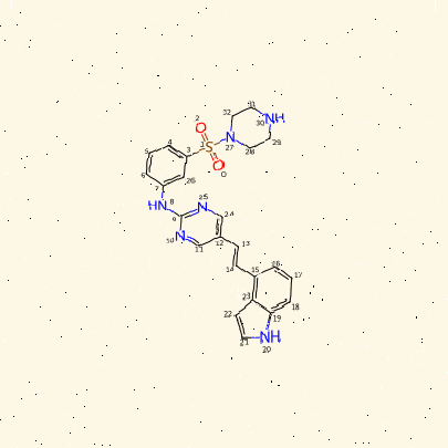 O=S(=O)(c1cccc(Nc2ncc(C=Cc3cccc4[nH]ccc34)cn2)c1)N1CCNCC1